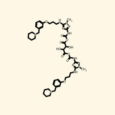 Cn1nc(NC(=O)OC(=O)C(O)C(O)C(=O)OC(=O)Nc2nc(NCCCOc3cccc(CN4CCCCC4)c3)n(C)n2)nc1NCCCOc1cccc(CN2CCCCC2)c1